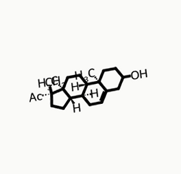 CC(=O)[C@@]1(C)CC[C@H]2[C@@H]3CC=C4CC(O)CC[C@]4(C)[C@H]3CC[C@@]21C